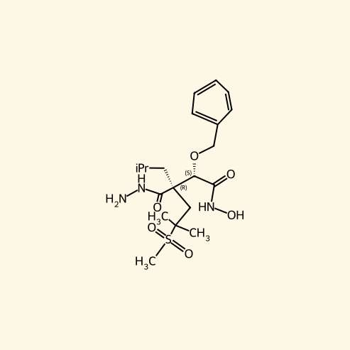 CC(C)C[C@](CC(C)(C)S(C)(=O)=O)(C(=O)NN)[C@H](OCc1ccccc1)C(=O)NO